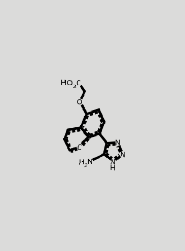 Nc1[nH]nnc1-c1ccc(OCC(=O)O)c2ccccc12